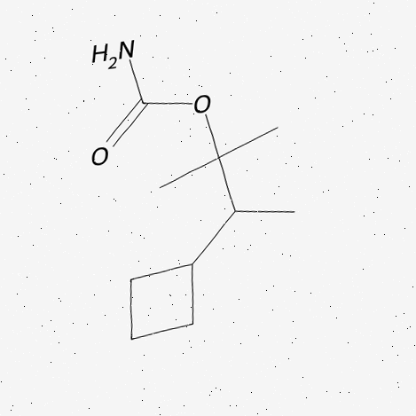 CC(C1CCC1)C(C)(C)OC(N)=O